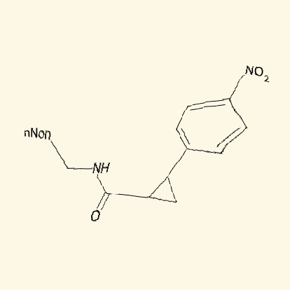 CCCCCCCCCCNC(=O)C1CC1c1ccc([N+](=O)[O-])cc1